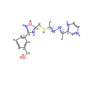 C/C(=N\N=C(/C)c1cnccn1)SCc1nc(-c2cccc(CO)c2)no1